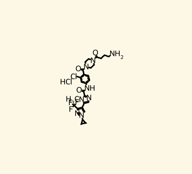 Cl.Cn1c(-c2cn(C3CC3)nc2C(F)(F)F)cnc1C(=O)Nc1ccc(C(=O)N2CCN(C(=O)CCCN)CC2)c(Cl)c1